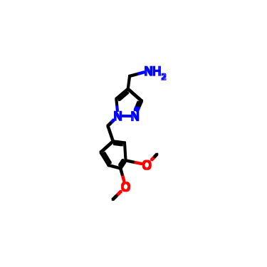 COc1ccc(Cn2cc(CN)cn2)cc1OC